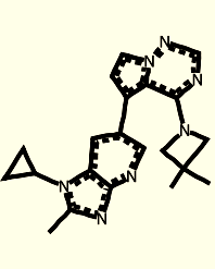 Cc1nc2ncc(-c3ccn4ncnc(N5CC(C)(C)C5)c34)cc2n1C1CC1